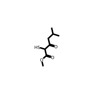 COC(=O)C(S)C(=O)CC(C)C